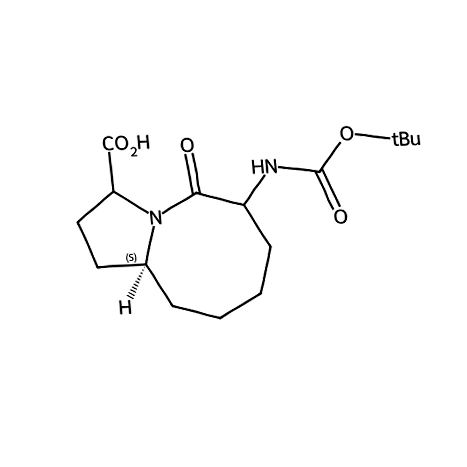 CC(C)(C)OC(=O)NC1CCCC[C@H]2CCC(C(=O)O)N2C1=O